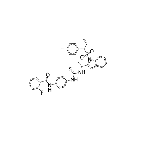 C=CC(c1ccc(C)cc1)S(=O)(=O)n1c(C(C)NC(=S)Nc2ccc(NC(=O)c3ccccc3F)cc2)cc2ccccc21